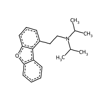 CC(C)N(CCc1cccc2oc3ccccc3c12)C(C)C